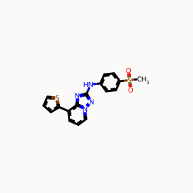 CS(=O)(=O)c1ccc(Nc2nc3c(-c4cccs4)cccn3n2)cc1